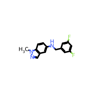 Cn1ncc2cc(NCc3cc(F)cc(F)c3)ccc21